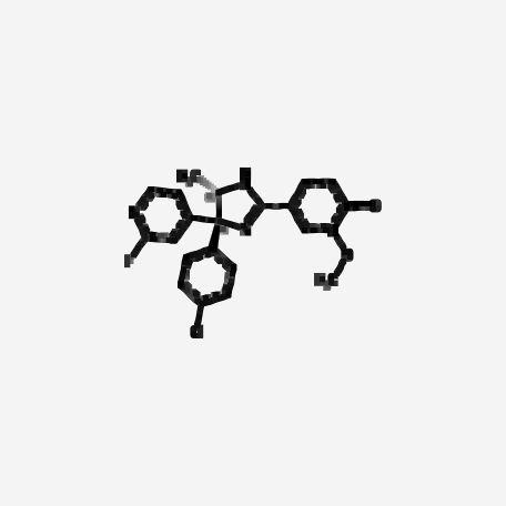 COn1cc(C2=N[C@](c3ccc(Cl)cc3)(c3ccnc(F)c3)[C@H](C)N2)ccc1=O